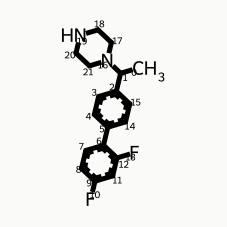 CC(c1ccc(-c2ccc(F)cc2F)cc1)N1CCNCC1